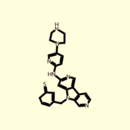 S=C1C=C(Cn2c3cnccc3c3cnc(Nc4ccc(N5CCNCC5)cn4)cc32)C=CC1